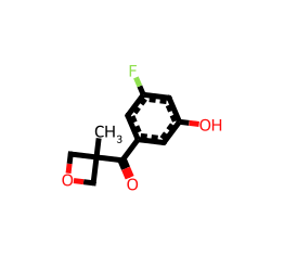 CC1(C(=O)c2cc(O)cc(F)c2)COC1